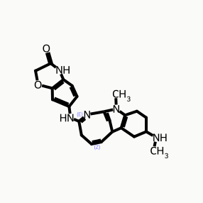 CNC1CCC2=C(C1)C1C=C(/N=C(/Nc3ccc4c(c3)OCC(=O)N4)C/C=C\1)N2C